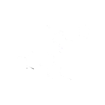 CN1CCC[C@@H]1COc1ccc(C#N)cc1C(=O)/N=c1\sc(C(C)(C)C)cn1Cc1ccco1